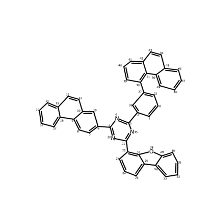 c1cc(-c2nc(-c3ccc4c(ccc5ccccc54)c3)nc(-c3cccc4c3oc3ccccc34)n2)cc(-c2cccc3ccc4ccccc4c23)c1